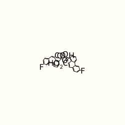 O=C(O)c1cc2ccc(F)cc2c2cccc(C(=O)OC(=O)c3cccc4c3c(C(=O)O)cc3ccc(F)cc34)c12